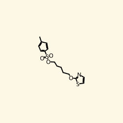 Cc1ccc(S(=O)(=O)OCCCCCOc2nccs2)cc1